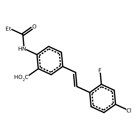 CCC(=O)Nc1ccc(C=Cc2ccc(Cl)cc2F)cc1C(=O)O